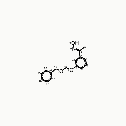 CC(=NO)c1cccc(OCOCc2ccccc2)c1